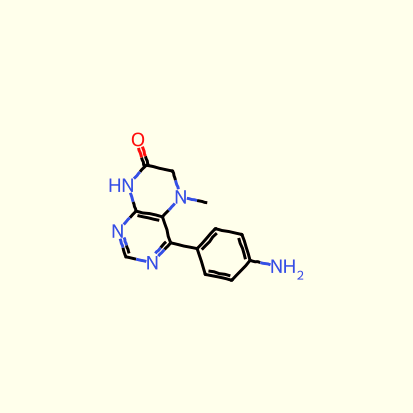 CN1CC(=O)Nc2ncnc(-c3ccc(N)cc3)c21